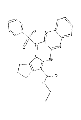 CCOC(=O)c1c(Nc2nc3ccccc3nc2NS(=O)(=O)c2ccccc2)sc2c1CCC2